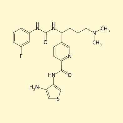 CN(C)CCCC(NC(=O)Nc1cccc(F)c1)c1ccc(C(=O)Nc2cscc2N)nc1